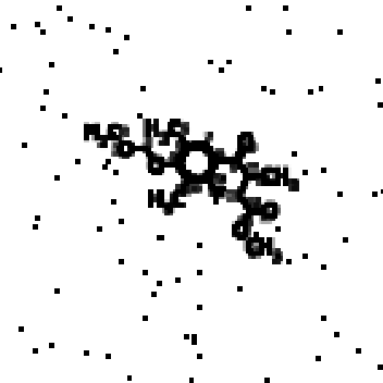 COCOc1c(C)cc(C(=O)C(C)CC(=O)OC)c(F)c1C